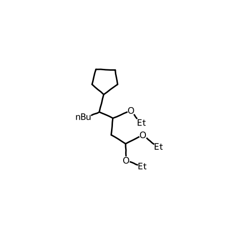 CCCCC(C1CCCC1)C(CC(OCC)OCC)OCC